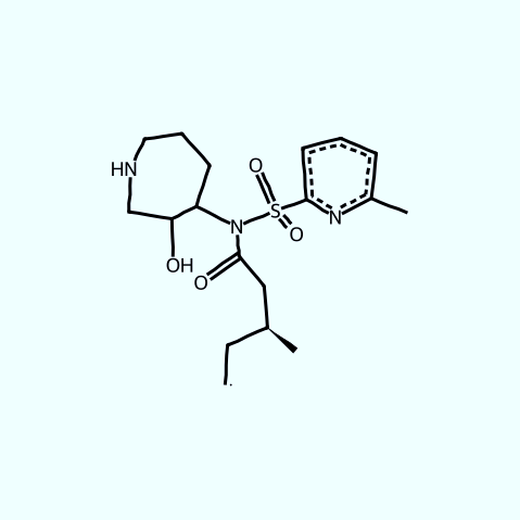 [CH2]C[C@H](C)CC(=O)N(C1CCCNCC1O)S(=O)(=O)c1cccc(C)n1